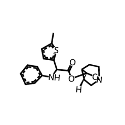 Cc1ccc(C(Nc2ccccc2)C(=O)O[C@H]2CN3CCC2CC3)s1